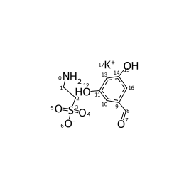 NCCS(=O)(=O)[O-].O=Cc1cc(O)cc(O)c1.[K+]